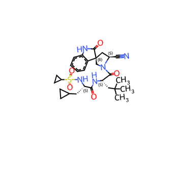 CC(C)(C)C[C@H](NC(=O)[C@H](CC1CC1)NS(=O)(=O)C1CC1)C(=O)N1C[C@]2(C[C@H]1C#N)C(=O)Nc1ccccc12